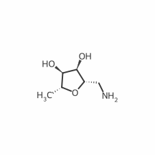 C[C@H]1O[C@@H](CN)[C@H](O)[C@@H]1O